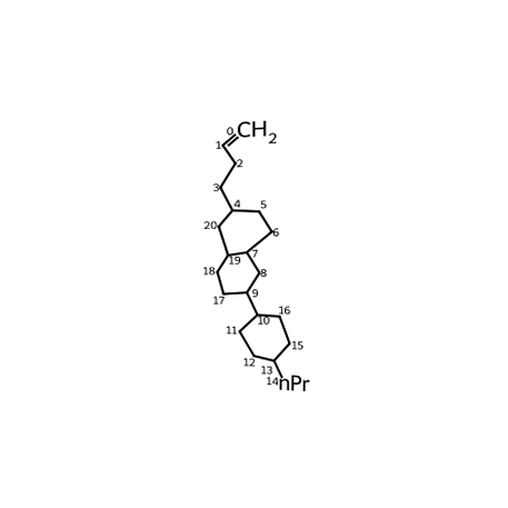 C=CCCC1CCC2CC(C3CCC(CCC)CC3)CCC2C1